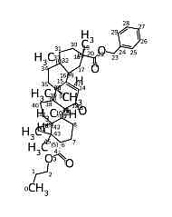 CCCOC(=O)[C@H]1CC[C@]2(C)[C@H]3C(=O)C=C4[C@@H]5C[C@@](C)(C(=O)OCc6ccccc6)CC[C@]5(C)CC[C@@]4(C)[C@]3(C)CC[C@H]2C1(C)C